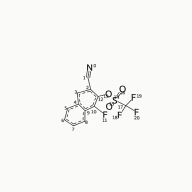 N#Cc1cc2ccccc2c(F)c1OS(=O)(=O)C(F)(F)F